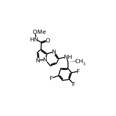 CONC(=O)c1cnn2ccc(N[C@H](C)c3cc(F)cc(F)c3F)nc12